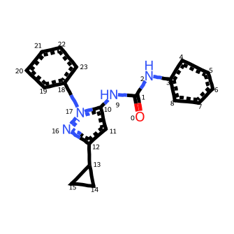 O=C(Nc1ccccc1)Nc1cc(C2CC2)nn1-c1ccccc1